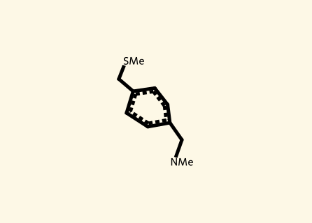 CNCc1ccc(CSC)cc1